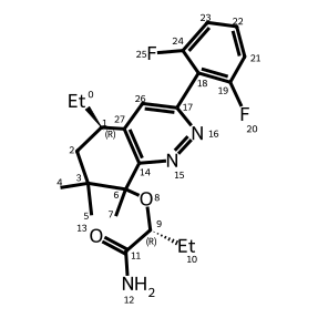 CC[C@@H]1CC(C)(C)C(C)(O[C@H](CC)C(N)=O)c2nnc(-c3c(F)cccc3F)cc21